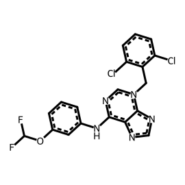 FC(F)Oc1cccc(Nc2ncn(Cc3c(Cl)cccc3Cl)c3ncnc2-3)c1